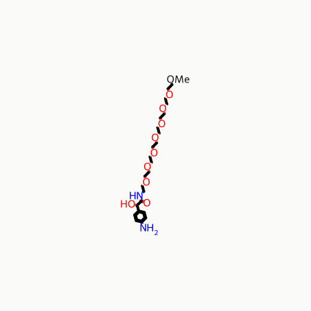 COCCOCCOCCOCCOCCOCCOCCOCCNC(=O)C(O)c1ccc(N)cc1